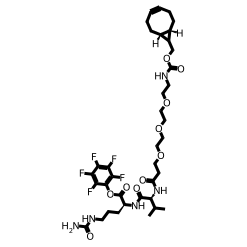 CC(C)[C@H](NC(=O)CCOCCOCCOCCNC(=O)OCC1[C@H]2CCC#CCC[C@@H]12)C(=O)N[C@@H](CCCNC(N)=O)C(=O)Oc1c(F)c(F)c(F)c(F)c1F